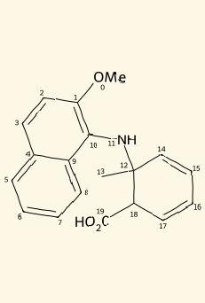 COc1ccc2ccccc2c1NC1(C)C=CC=CC1C(=O)O